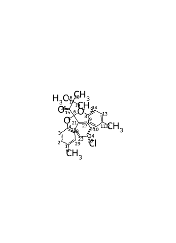 Cc1ccc(OC(Oc2ccc(C)cc2)(C(=O)C(C)(C)C)c2ccc(Cl)cc2)cc1